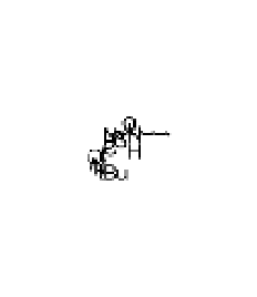 C=CCCCCNC(=O)c1cnc(OC=C2CN(C(C)(C)C)C(C)(C)O2)s1